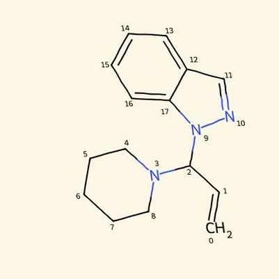 C=CC(N1CCCCC1)n1ncc2ccccc21